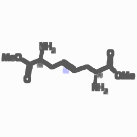 COC(=O)[C@H](N)C/C=C/C[C@H](N)C(=O)OC